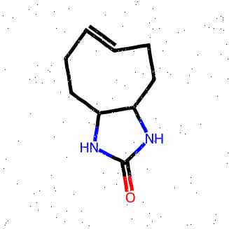 O=C1NC2CC/C=C/CCC2N1